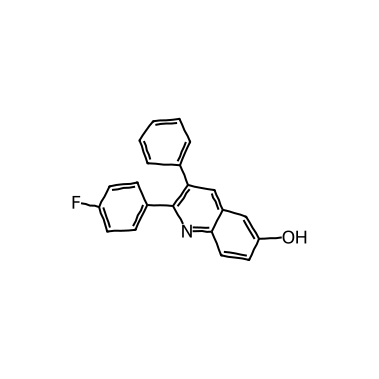 Oc1ccc2nc(-c3ccc(F)cc3)c(-c3ccccc3)cc2c1